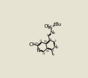 Cc1ncc(C=N[S@@+]([O-])C(C)(C)C)c2cc(Cl)ncc12